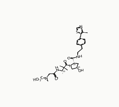 Cc1ncsc1-c1ccc(CCNC(=O)[C@@H]2C[C@@H](O)CN2C(=O)C(C)(C)[C@H](C)NC(=O)CN(C)C(=O)O)cc1